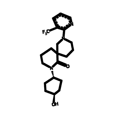 O=C1N([C@H]2CC[C@H](O)CC2)CCCC12CCCN(c1ncccc1C(F)(F)F)C2